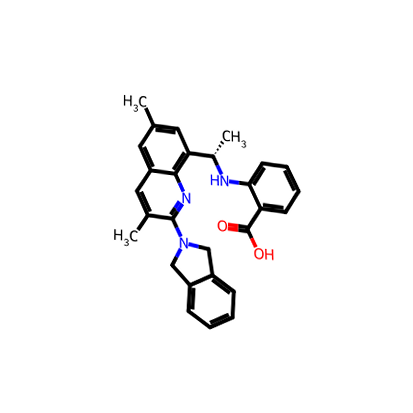 Cc1cc([C@H](C)Nc2ccccc2C(=O)O)c2nc(N3Cc4ccccc4C3)c(C)cc2c1